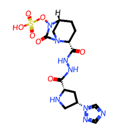 O=C(NNC(=O)[C@H]1CC[C@@H]2CN1C(=O)N2OS(=O)(=O)O)[C@@H]1C[C@H](n2cncn2)CN1